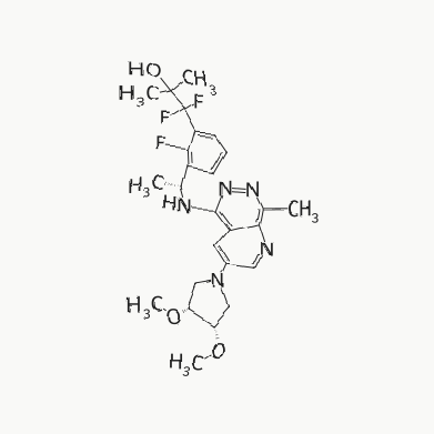 CO[C@H]1CN(c2cnc3c(C)nnc(N[C@H](C)c4cccc(C(F)(F)C(C)(C)O)c4F)c3c2)C[C@H]1OC